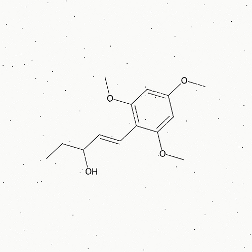 CCC(O)C=Cc1c(OC)cc(OC)cc1OC